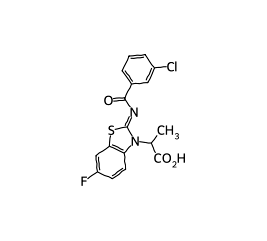 CC(C(=O)O)n1c(=NC(=O)c2cccc(Cl)c2)sc2cc(F)ccc21